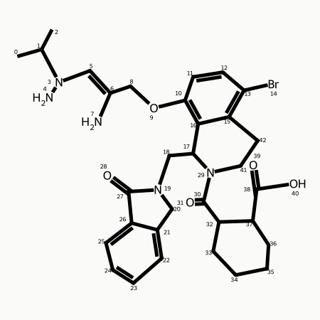 CC(C)N(N)/C=C(\N)COc1ccc(Br)c2c1C(CN1Cc3ccccc3C1=O)N(C(=O)C1CCCCC1C(=O)O)CC2